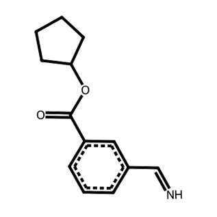 N=Cc1cccc(C(=O)OC2CCCC2)c1